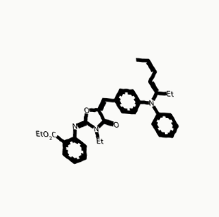 C/C=C\C=C(/CC)N(c1ccccc1)c1ccc(/C=C2/O/C(=N/c3ccccc3C(=O)OCC)N(CC)C2=O)cc1